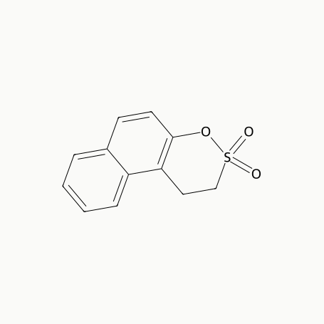 O=S1(=O)CCc2c(ccc3ccccc23)O1